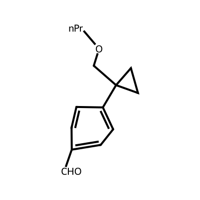 CCCOCC1(c2ccc(C=O)cc2)CC1